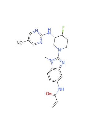 C=CC(=O)Nc1ccc2c(c1)nc(N1CC[C@H](F)[C@@H](Nc3ncc(C#N)cn3)C1)n2C